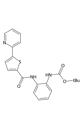 CC(C)(C)OC(=O)Nc1ccccc1NC(=O)c1ccc(-c2ccccn2)s1